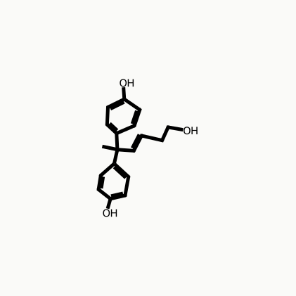 CC(C=CCCO)(c1ccc(O)cc1)c1ccc(O)cc1